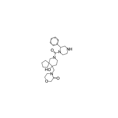 O=C1COCCN1CC1(O)CCN(C(=O)N2CCNCC2c2ccccc2)CC12CCCC2